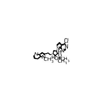 Cn1c(CC[C@H]2C[C@@H](n3ccc4c(Cl)ncnc43)[C@@H]3OC(C)(C)O[C@H]23)cc2ncccc21